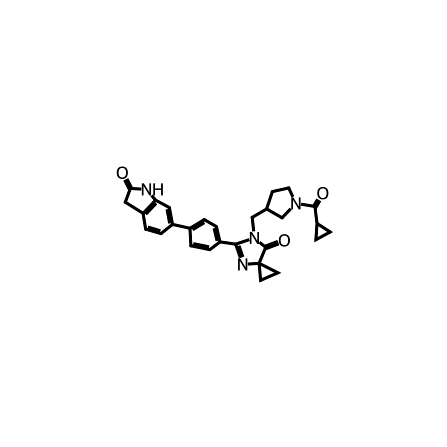 O=C1Cc2ccc(-c3ccc(C4=NC5(CC5)C(=O)N4CC4CCN(C(=O)C5CC5)C4)cc3)cc2N1